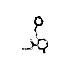 C=C1COC[C@@H](COCc2ccccc2)N(C(=O)OC(C)(C)C)C1